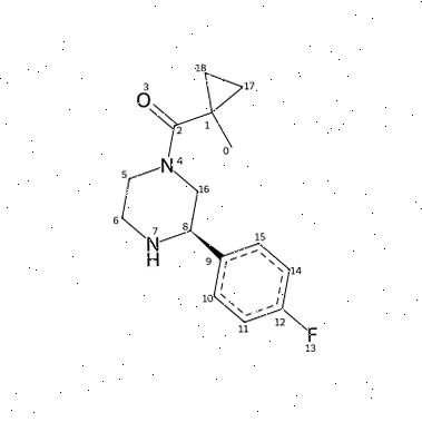 CC1(C(=O)N2CCN[C@H](c3ccc(F)cc3)C2)CC1